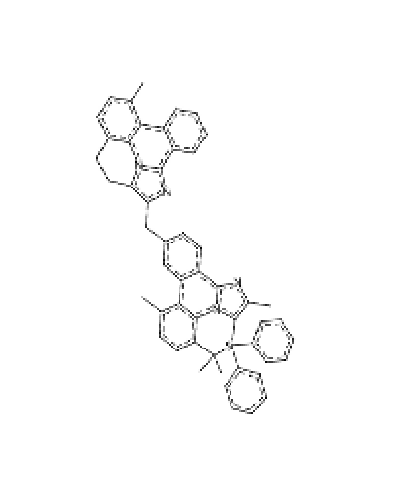 Cc1nc2c3ccc(Cc4nc5c6ccccc6c6c(C)ccc7c6n5c4CC7)cc3c3c(C)ccc4c3n2c1[Si](c1ccccc1)(c1ccccc1)C4(C)C